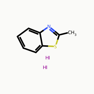 Cc1nc2ccccc2s1.I.I